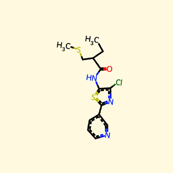 CCC(CSC)C(=O)Nc1sc(-c2cccnc2)nc1Cl